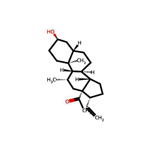 C=C[C@H]1CC[C@H]2[C@@H]3CC[C@H]4C[C@H](O)CC[C@]4(C)[C@H]3[C@@H](C)C[C@]12C(C)=O